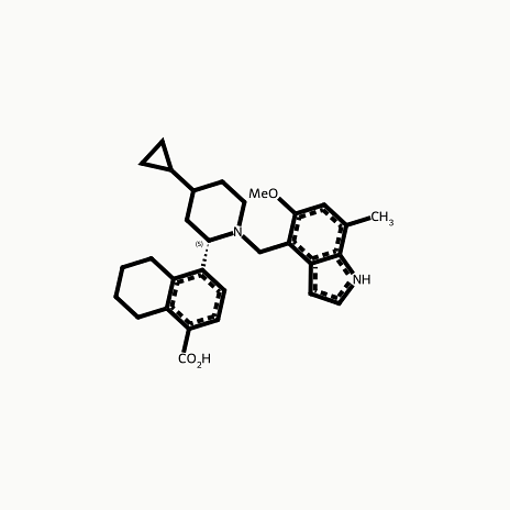 COc1cc(C)c2[nH]ccc2c1CN1CCC(C2CC2)C[C@H]1c1ccc(C(=O)O)c2c1CCCC2